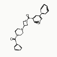 O=C(c1ccccc1)N1CCN(C2CN(C(=O)c3cncc(-c4ccccc4)c3)C2)CC1